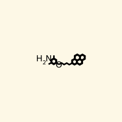 Cc1cc(OCCCCc2cc3ccc4cccc5ccc(c2)c3c45)cc(C)c1N